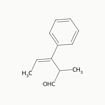 CC=C(c1ccccc1)C(C)[C]=O